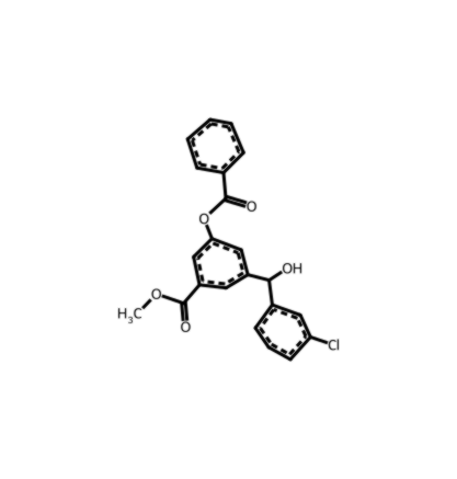 COC(=O)c1cc(OC(=O)c2ccccc2)cc(C(O)c2cccc(Cl)c2)c1